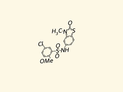 COc1ccc(Cl)cc1S(=O)(=O)Nc1ccc2sc(=O)n(C)c2c1